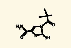 CC(C)(C)C(=O)N1C=C(C(N)=O)SC1S